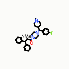 CNC(C(=O)N1CCN(C(c2ccc(F)cc2)C2CCN(C)CC2)CC1)C(c1ccccc1)c1ccccc1